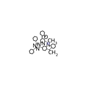 C=C(c1ccc(-c2nc(-c3ccccc3)nc(-c3ccccc3)n2)cc1)c1ccccc1/N=C(\C)c1nccc2c1oc1ccccc12